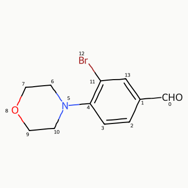 O=Cc1ccc(N2CCOCC2)c(Br)c1